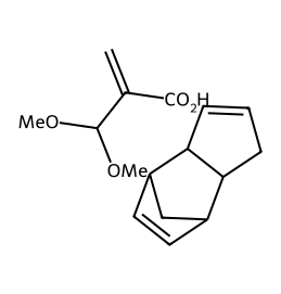 C1=CC2C3C=CC(C3)C2C1.C=C(C(=O)O)C(OC)OC